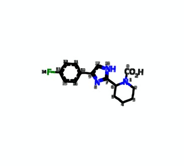 O=C(O)N1CCCCC1c1nc(-c2ccc(F)cc2)c[nH]1